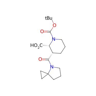 CC(C)(C)OC(=O)N1CCC[C@H](C(=O)N2CCCC23CC3)[C@@H]1C(=O)O